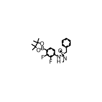 CN=S(=O)(Cc1ccccc1)Nc1ccc(B2OC(C)(C)C(C)(C)O2)c(F)c1F